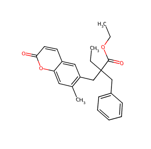 CCOC(=O)C(CC)(Cc1ccccc1)Cc1cc2ccc(=O)oc2cc1C